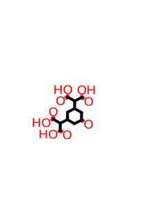 O=C1CC(C(C(=O)O)C(=O)O)CC(C(C(=O)O)C(=O)O)C1